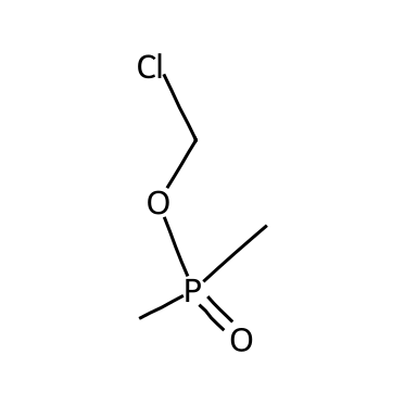 CP(C)(=O)OCCl